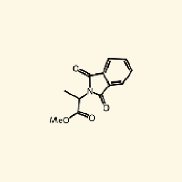 COC(=O)C(C)N1C(=O)c2ccccc2C1=O